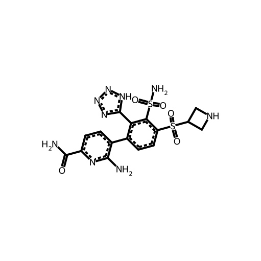 NC(=O)c1ccc(-c2ccc(S(=O)(=O)C3CNC3)c(S(N)(=O)=O)c2-c2nnn[nH]2)c(N)n1